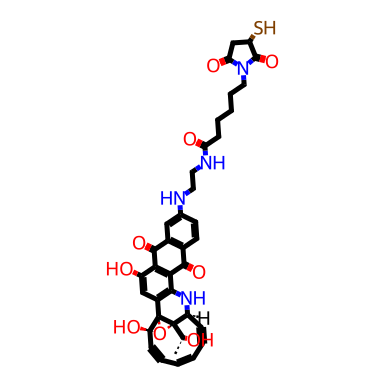 C[C@@H](O)[C@@]12O[C@]13c1cc(O)c4c(c1N[C@H]2C#C/C=C\C#C[C@H]3O)C(=O)c1ccc(NCCNC(=O)CCCCCN2C(=O)CC(S)C2=O)cc1C4=O